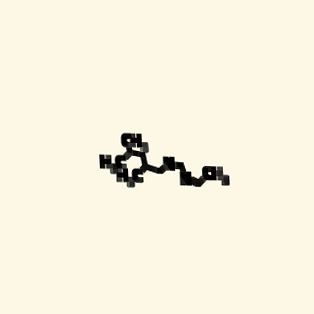 C/C=N\C=N/CC(C)CC(C)C